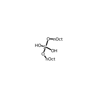 CCCCCCCCO[Si](O)(O)OCCCCCCCC